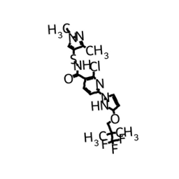 Cc1nn(C)cc1SNC(=O)c1ccc(N2C=CC(OCC(C)(C)C(F)(F)F)N2)nc1Cl